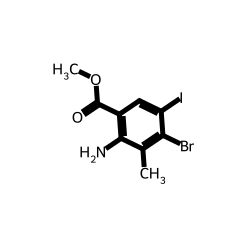 COC(=O)c1cc(I)c(Br)c(C)c1N